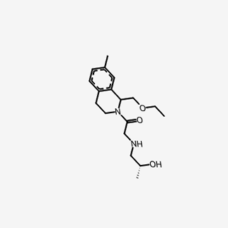 CCOCC1c2cc(C)ccc2CCN1C(=O)CNC[C@@H](C)O